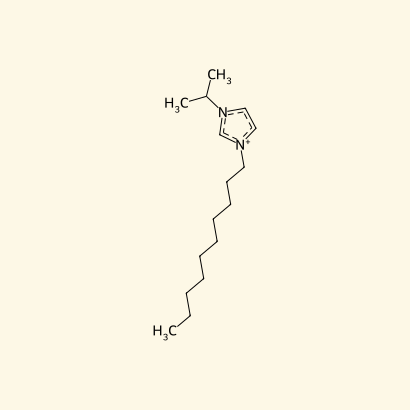 CCCCCCCCCC[n+]1ccn(C(C)C)c1